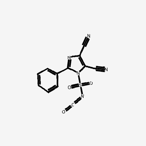 N#Cc1nc(-c2ccccc2)n(S(=O)(=O)N=C=O)c1C#N